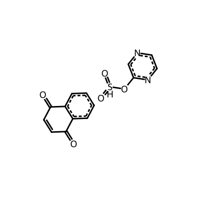 O=C1C=CC(=O)c2ccccc21.O=[SH](=O)Oc1cnccn1